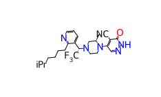 CC(C)CCCCc1ncccc1[C@H](N1CCN(c2cn[nH]c(=O)c2C#N)[C@H](C)C1)C(F)(F)F